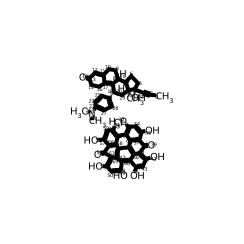 CC#C[C@]1(O)CC[C@H]2[C@@H]3CCC4=CC(=O)CCC4=C3[C@@H](c3ccc(N(C)C)cc3)C[C@@]21C.Cc1cc(O)c2c(=O)c3c(O)cc(O)c4c5c(O)cc(O)c6c(=O)c7c(O)cc(C)c8c1c2c(c34)c(c78)c65